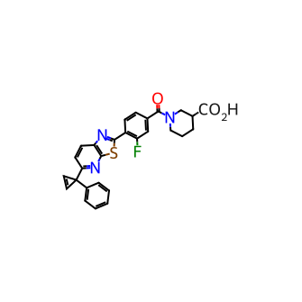 O=C(O)C1CCCN(C(=O)c2ccc(-c3nc4ccc(C5(c6ccccc6)C=C5)nc4s3)c(F)c2)C1